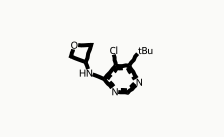 CC(C)(C)c1ncnc(NC2COC2)c1Cl